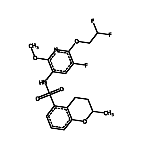 COc1nc(OCC(F)F)c(F)cc1NS(=O)(=O)c1cccc2c1CCC(C)O2